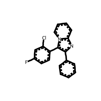 Fc1ccc(-c2c(-c3ccccc3)nc3ccccn23)c(Cl)c1